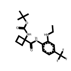 CCNc1cc(C(F)(F)F)ccc1NC(=O)C1(NC(=O)OC(C)(C)C)CCC1